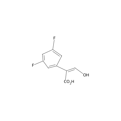 O=C(O)/C(=C\O)c1cc(F)cc(F)c1